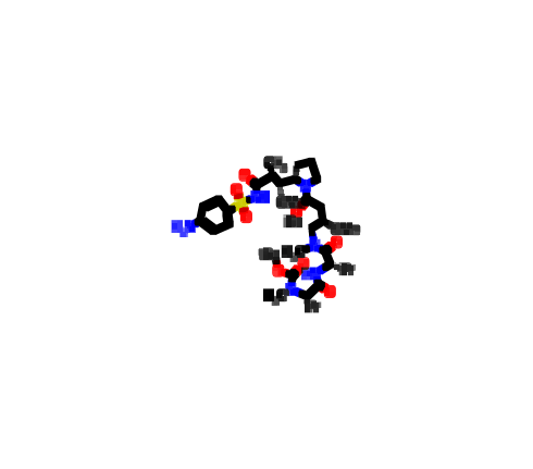 CC[C@H](C)[C@@H]([C@@H](CC(=O)N1CCC[C@H]1[C@H](OC)[C@@H](C)C(=O)NS(=O)(=O)c1ccc(N)cc1)OC)N(C)C(=O)[C@@H](NC(=O)[C@H](C(C)C)N(C)C(=O)OC(C)(C)C)C(C)C